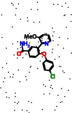 COc1cccnc1-c1cc(C(N)=O)ccc1Oc1ccc(Cl)cc1